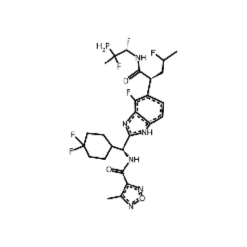 Cc1nonc1C(=O)N[C@H](c1nc2c(F)c([C@H](CC(C)F)C(=O)N[C@@H](C)C(C)(F)P)ccc2[nH]1)C1CCC(F)(F)CC1